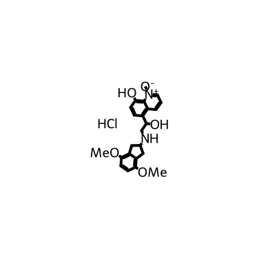 COc1ccc(OC)c2c1CC(NCC(O)c1ccc(O)c3c1ccc[n+]3[O-])C2.Cl